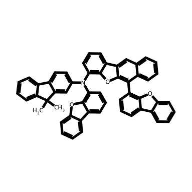 CC1(C)c2ccccc2-c2ccc(N(c3cccc4c3oc3ccccc34)c3cccc4c3oc3c(-c5cccc6c5oc5ccccc56)c5ccccc5cc34)cc21